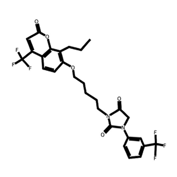 CCCc1c(OCCCCCN2C(=O)CN(c3cccc(C(F)(F)F)c3)C2=O)ccc2c(C(F)(F)F)cc(=O)oc12